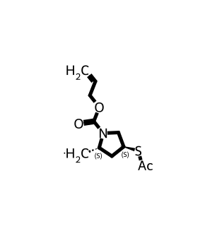 [CH2][C@H]1C[C@H](SC(C)=O)CN1C(=O)OCC=C